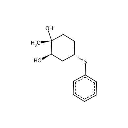 C[C@@]1(O)CC[C@H](Sc2ccccc2)C[C@H]1O